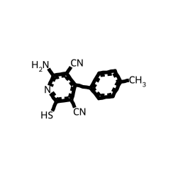 Cc1ccc(-c2c(C#N)c(N)nc(S)c2C#N)cc1